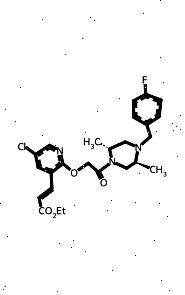 CCOC(=O)C=Cc1cc(Cl)cnc1OCC(=O)N1C[C@H](C)N(Cc2ccc(F)cc2)C[C@H]1C